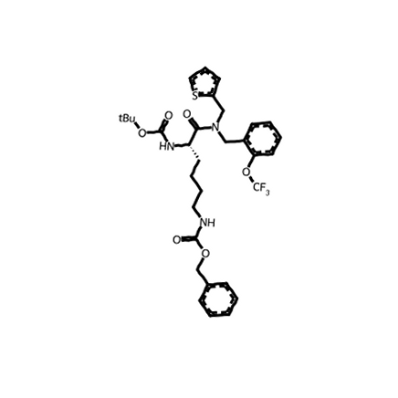 CC(C)(C)OC(=O)N[C@@H](CCCCNC(=O)OCc1ccccc1)C(=O)N(Cc1cccs1)Cc1ccccc1OC(F)(F)F